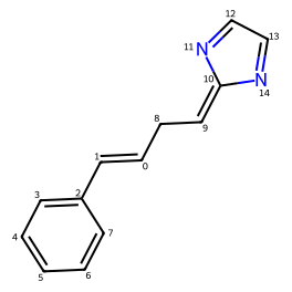 C(=Cc1ccccc1)CC=C1N=CC=N1